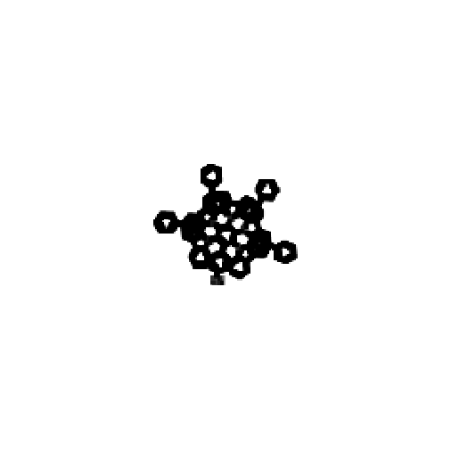 N#Cc1ccc(-c2c(-n3c4ccccc4c4ccccc43)c(-n3c4ccc(-c5ccccc5)cc4c4cc(-c5ccccc5)ccc43)c(-n3c4ccccc4c4ccccc43)c(-n3c4ccc(-c5ccccc5)cc4c4cc(-c5ccccc5)ccc43)c2-n2c3ccccc3c3ccccc32)cc1